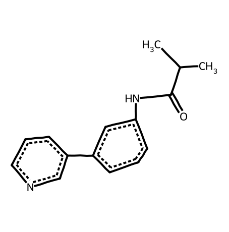 CC(C)C(=O)Nc1cccc(-c2cccnc2)c1